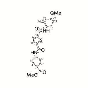 COC(=O)c1ccc(NC(=O)c2ccc(C(=O)Nc3ccc(OC)cc3C)s2)cc1